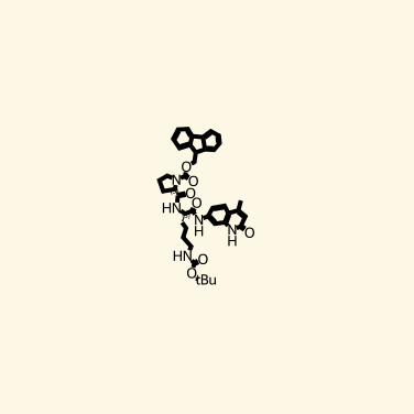 Cc1cc(=O)[nH]c2cc(NC(=O)[C@H](CCCCNC(=O)OC(C)(C)C)NC(=O)[C@@H]3CCCN3C(=O)OCC3c4ccccc4-c4ccccc43)ccc12